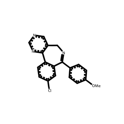 COc1ccc(C2=NCc3cncnc3-c3ccc(Cl)cc32)cc1